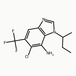 CCC(C)n1cnc2cc(C(F)(F)F)c(Cl)c(N)c21